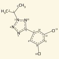 CC(C)n1nnc(-c2cc(Cl)cc(Cl)c2)n1